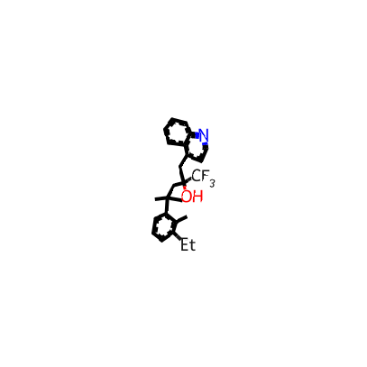 CCc1cccc(C(C)(C)CC(O)(Cc2ccnc3ccccc23)C(F)(F)F)c1C